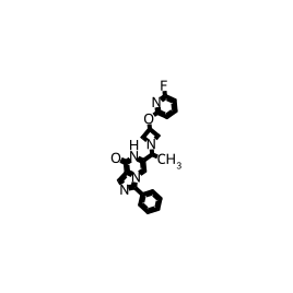 CC(c1cn2c(-c3ccccc3)ncc2c(=O)[nH]1)N1CC(Oc2cccc(F)n2)C1